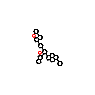 c1ccc(-c2ccc3ccc4c(-c5ccc(-c6ccc(-c7ccc8c9c(cccc79)-c7ccccc7O8)cc6)c6oc7cc8ccccc8cc7c56)ccc5ccc2c3c54)cc1